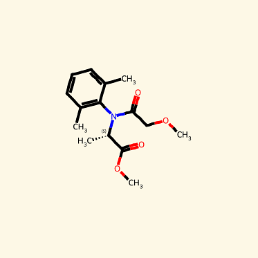 COCC(=O)N(c1c(C)cccc1C)[C@@H](C)C(=O)OC